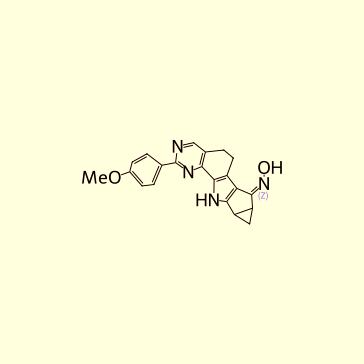 COc1ccc(-c2ncc3c(n2)-c2[nH]c4c(c2CC3)/C(=N\O)C2CC42)cc1